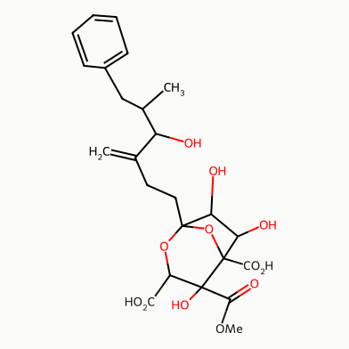 C=C(CCC12OC(C(=O)O)C(O)(C(=O)OC)C(C(=O)O)(O1)C(O)C2O)C(O)C(C)Cc1ccccc1